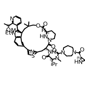 CCn1c(-c2cccnc2[C@H](C)OC)c2c3cc(ccc31)-c1csc(n1)C[C@H](NC(=O)[C@H](C(C)C)N(C)C(=O)N1CCCN(C(=O)[C@H]3CN3)CC1)C(=O)N1CCC[C@H](N1)C(=O)OCC(C)(C)C2